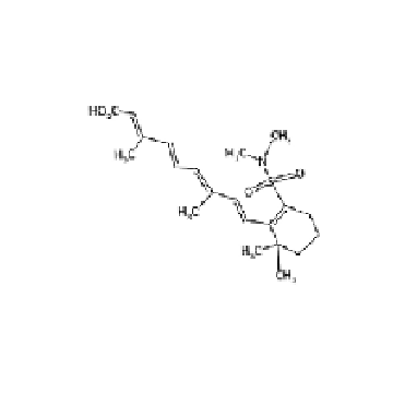 CC(/C=C/C1=C(S(=O)(=O)N(C)C)CCCC1(C)C)=C\C=C\C(C)=C\C(=O)O